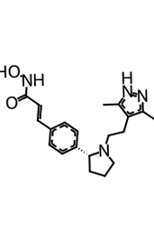 Cc1n[nH]c(C)c1CCN1CCC[C@@H]1c1ccc(C=CC(=O)NO)cc1